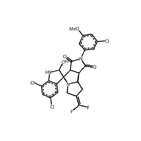 COc1cc(Cl)cc(N2C(=O)C3C4CC(=C(F)F)CN4C4(c5cc(Cl)cc(Cl)c5NC4O)C3C2=O)c1